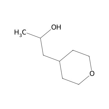 CC(O)CC1CCOCC1